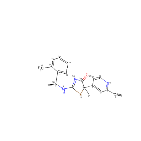 COc1cc(C2(C)SC(N[C@@H](C)c3ccccc3C(F)(F)F)=NC2=O)ccn1